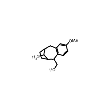 COc1ccc2c(c1)CC1CCC(C2CO)C1N